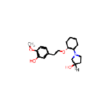 [2H]C1(O)CCN([C@@H]2CCCC[C@H]2OCCc2ccc(OC)c(O)c2)C1